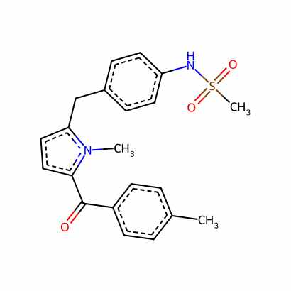 Cc1ccc(C(=O)c2ccc(Cc3ccc(NS(C)(=O)=O)cc3)n2C)cc1